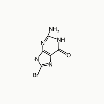 Nc1nc2c(c(=O)[nH]1)N=C(Br)[N]2